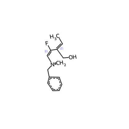 C=[N+](/C=C(F)\C(=C/C)CO)Cc1ccccc1